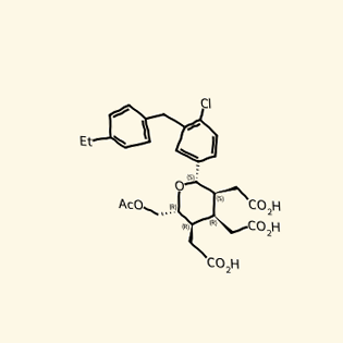 CCc1ccc(Cc2cc([C@H]3O[C@@H](COC(C)=O)[C@H](CC(=O)O)[C@H](CC(=O)O)[C@@H]3CC(=O)O)ccc2Cl)cc1